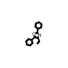 C=Cc1nc(-c2ccccc2)oc1-c1ccccc1